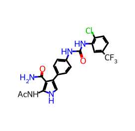 CC(=O)Nc1[nH]cc(-c2ccc(NC(=O)Nc3cc(C(F)(F)F)ccc3Cl)cc2)c1C(N)=O